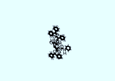 O=C(NC1CCCCC1)NC1S[C@@H]2C(NC(=O)C(C(=O)OC(c3ccccc3)c3ccccc3)c3ccccc3)C(=O)N2C=C1C(=O)OC(c1ccccc1)c1ccccc1